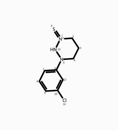 S=[N+]1CCCN(c2cccc(Cl)c2)N1